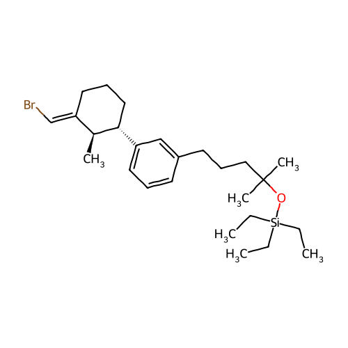 CC[Si](CC)(CC)OC(C)(C)CCCc1cccc([C@H]2CCC/C(=C\Br)[C@@H]2C)c1